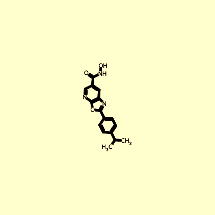 CC(C)c1ccc(-c2nc3cc(C(=O)NO)cnc3o2)cc1